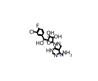 N/N=c1/nc[nH]c2c1cnn2[C@@H]1O[C@H]([C@H](O)c2ccc(F)c(Cl)c2)[C@@H](O)[C@H]1O